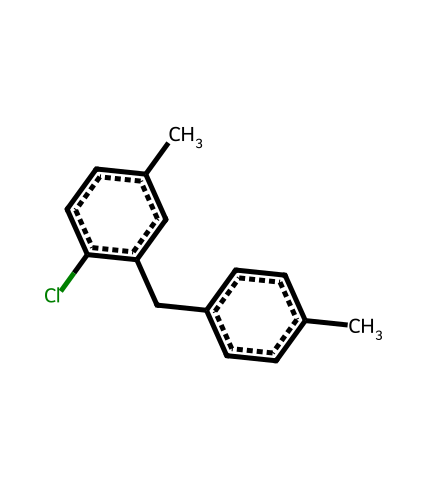 Cc1ccc(Cc2cc(C)ccc2Cl)cc1